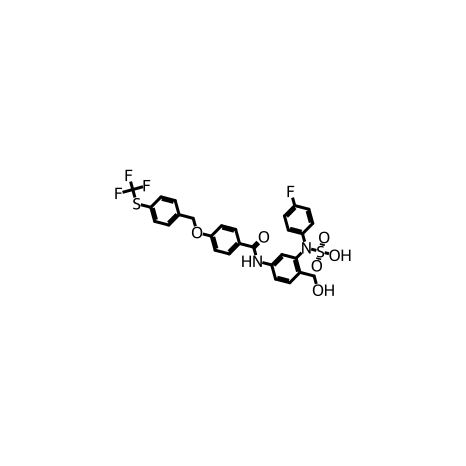 O=C(Nc1ccc(CO)c(N(c2ccc(F)cc2)S(=O)(=O)O)c1)c1ccc(OCc2ccc(SC(F)(F)F)cc2)cc1